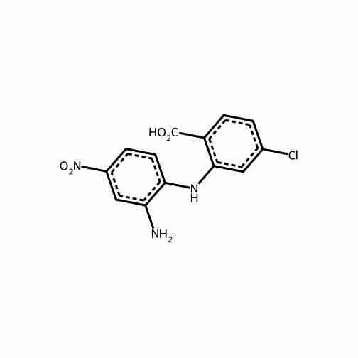 Nc1cc([N+](=O)[O-])ccc1Nc1cc(Cl)ccc1C(=O)O